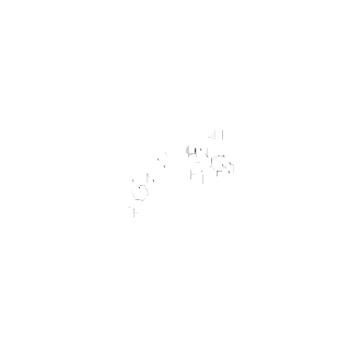 C[C@]([SiH3])(COCCC(=O)N1CCN2c3ncc(C(F)(F)F)cc3CC[C@H]2C1)Nc1cn[nH]c(=O)c1C(F)(F)F